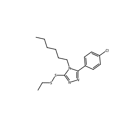 CCCCCCn1c(SSCC)nnc1-c1ccc(Cl)cc1